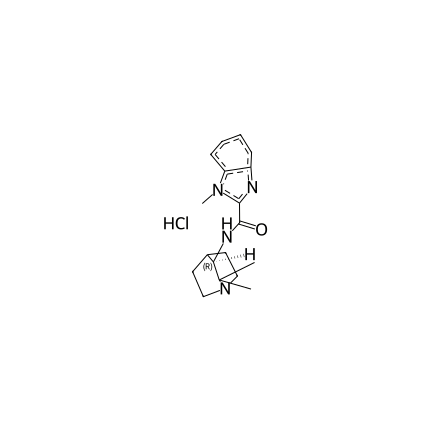 Cl.Cn1c(C(=O)N[C@@H]2C3CCN(CC3)C2(C)C)nc2ccccc21